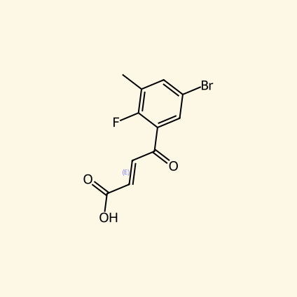 Cc1cc(Br)cc(C(=O)/C=C/C(=O)O)c1F